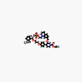 COc1ccccc1COCCCOc1ccc([C@H]2CCN(C(=O)OC(C)(C)C)C[C@@H]2OCc2ccc3c(c2)N(CCOS(C)(=O)=O)CCC3)cc1